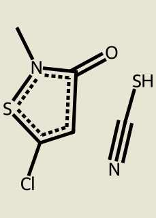 Cn1sc(Cl)cc1=O.N#CS